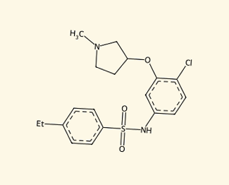 CCc1ccc(S(=O)(=O)Nc2ccc(Cl)c(OC3CCN(C)C3)c2)cc1